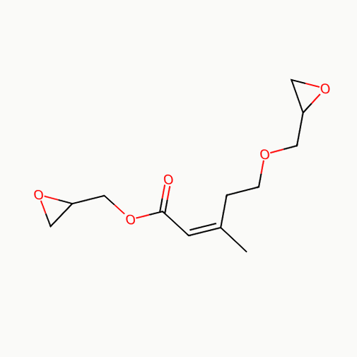 CC(=CC(=O)OCC1CO1)CCOCC1CO1